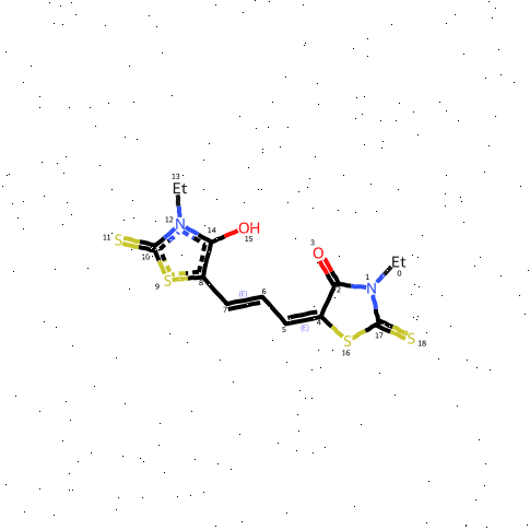 CCN1C(=O)/C(=C\C=C\c2sc(=S)n(CC)c2O)SC1=S